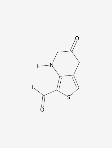 O=C1Cc2csc(C(=O)I)c2N(I)C1